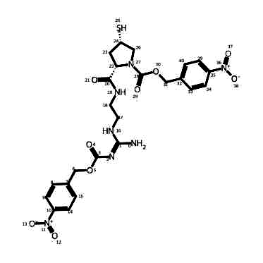 NC(=NC(=O)OCc1ccc([N+](=O)[O-])cc1)NCCNC(=O)[C@@H]1C[C@H](S)CN1C(=O)OCc1ccc([N+](=O)[O-])cc1